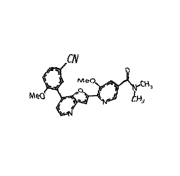 COc1ccc(C#N)cc1-c1ccnc2cc(-c3ncc(C(=O)N(C)C)cc3OC)oc12